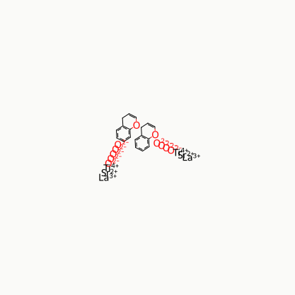 C1=COc2ccccc2C1.C1=COc2ccccc2C1.[La+3].[La+3].[O-2].[O-2].[O-2].[O-2].[O-2].[O-2].[O-2].[O-2].[O-2].[Sr+2].[Sr+2].[Ti+4].[Ti+4]